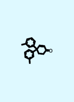 Cc1cccc(C2(c3cccc(C)c3)C=CC(=O)CC2)c1